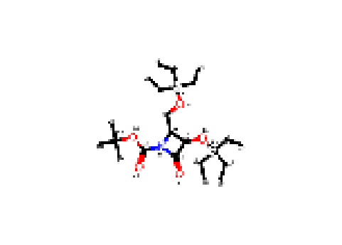 CC[Si](CC)(CC)OCC1C(O[Si](CC)(CC)CC)C(=O)N1C(=O)OC(C)(C)C